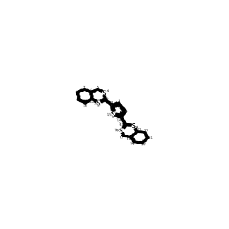 c1cc(C2SCC3CCCCC3S2)sc1C1SCC2CCCCC2S1